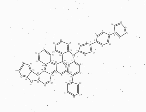 c1ccc(-c2ccc(-c3ccc(N(c4ccc(-c5ccccc5)cc4)c4ccccc4-c4cccc5c6ccc7oc8ccccc8c7c6c6ccccc6c45)cc3)cc2)cc1